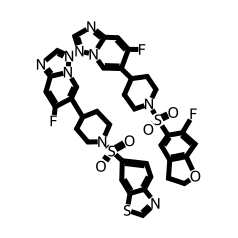 O=S(=O)(c1cc2c(cc1F)OCC2)N1CCC(c2cn3ncnc3cc2F)CC1.O=S(=O)(c1ccc2ncsc2c1)N1CCC(c2cn3ncnc3cc2F)CC1